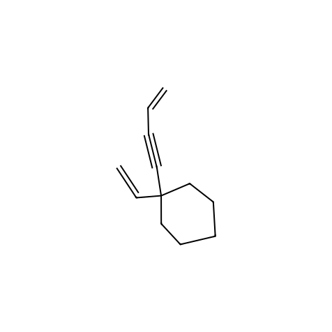 C=CC#CC1(C=C)CCCCC1